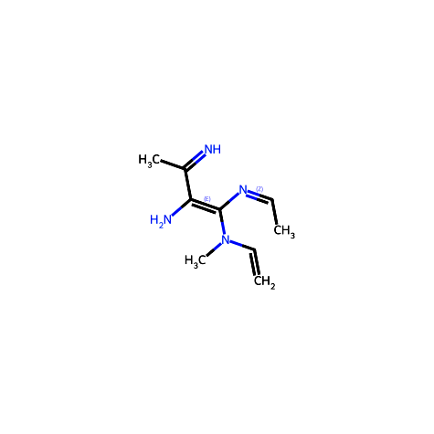 C=CN(C)C(/N=C\C)=C(\N)C(C)=N